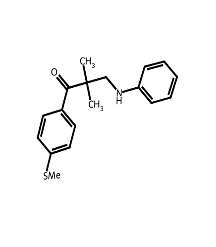 CSc1ccc(C(=O)C(C)(C)CNc2ccccc2)cc1